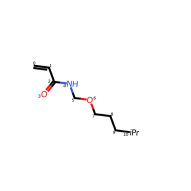 C=CC(=O)NCOCCCC(C)C